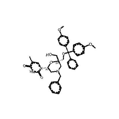 COc1ccc(C(OC[C@]2(CO)CN(Cc3ccccc3)C[C@H](n3cc(C)c(=O)[nH]c3=O)O2)(c2ccccc2)c2ccc(OC)cc2)cc1